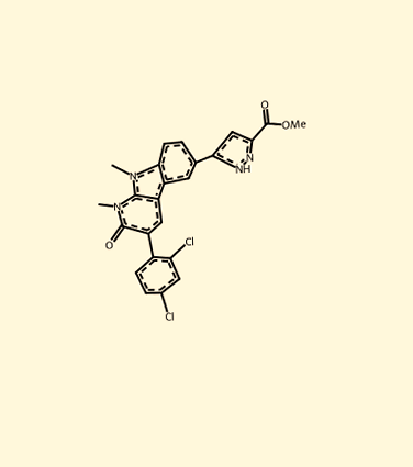 COC(=O)c1cc(-c2ccc3c(c2)c2cc(-c4ccc(Cl)cc4Cl)c(=O)n(C)c2n3C)[nH]n1